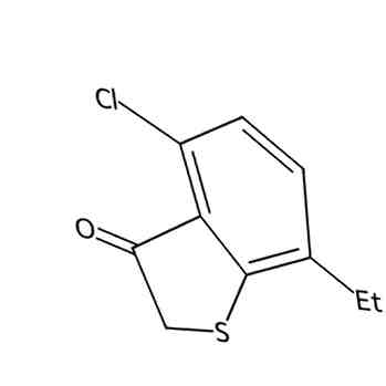 CCc1ccc(Cl)c2c1SCC2=O